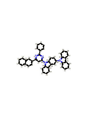 c1ccc(-c2nc(-c3ccc4ccccc4c3)cc(-n3c4ccccc4c4cc(-n5c6ccccc6c6ccccc65)ccc43)n2)cc1